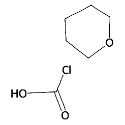 C1CCOCC1.O=C(O)Cl